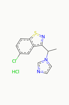 CC(c1nsc2ccc(Cl)cc12)n1ccnc1.Cl